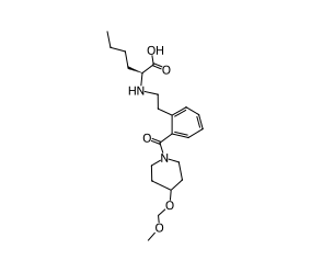 CCCC[C@H](NCCc1ccccc1C(=O)N1CCC(OCOC)CC1)C(=O)O